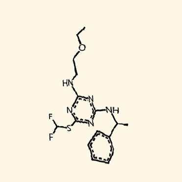 CCOCCNc1nc(N[C@@H](C)c2ccccc2)nc(SC(F)F)n1